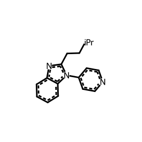 CC(C)CCc1nc2ccccc2n1-c1ccncc1